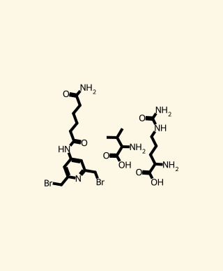 CC(C)C(N)C(=O)O.NC(=O)CCCCC(=O)Nc1cc(CBr)nc(CBr)c1.NC(=O)NCCCC(N)C(=O)O